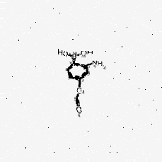 Nc1cc(OC=O)ccc1B(O)O